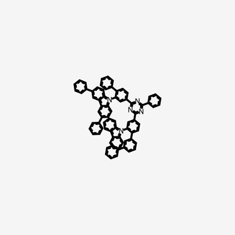 c1ccc(-c2cccc(-c3ccc(-c4nc(-c5ccccc5)nc(-c5ccc(-c6ccccc6)c(-n6c7ccc(-c8ccccc8)cc7c7cc(-c8ccccc8)ccc76)c5)n4)cc3-n3c4ccccc4c4ccccc43)c2)cc1